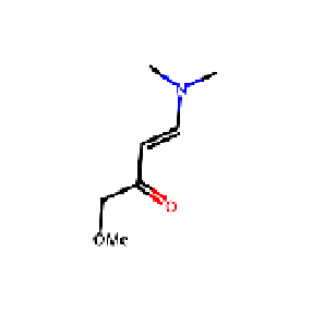 COCC(=O)C=CN(C)C